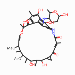 COC1/C=C\OC2(C)Oc3c(C)c(O)c4c(O)c(cc(NC5CCC(O)OC5C)c4c3C2=O)NC(=O)/C(C)=C\C(=O)C2CC2C(O)C(C)C(O)C(C)C(OC(C)=O)C1C